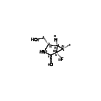 C[C@H]1[C@@H]2[C@@H](CO)NC(=O)[C@@]21F